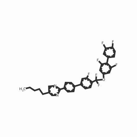 CCCCCc1cnc(-c2ccc(-c3ccc(C(F)(F)Oc4cc(F)c(-c5ccc(F)c(F)c5)c(F)c4)c(F)c3)cc2)nc1